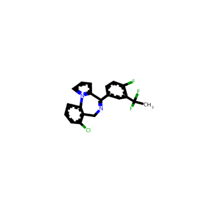 CC(F)(F)c1cc(C2=NCc3c(Cl)cccc3-n3cccc32)ccc1F